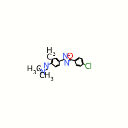 Cc1cc(-c2noc(-c3ccc(Cl)cc3)n2)ccc1N=CN(C)C